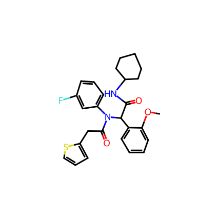 COc1ccccc1C(C(=O)NC1CCCCC1)N(C(=O)Cc1cccs1)c1cccc(F)c1